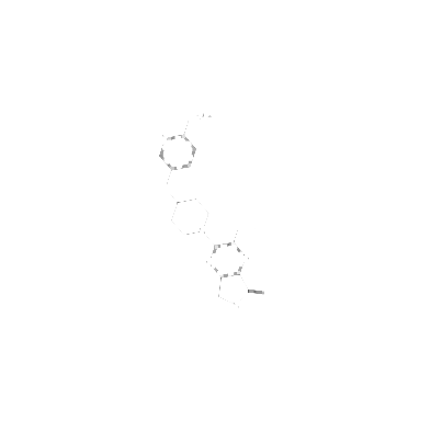 COc1ccc(OC2CCN(c3nc4c(nc3C)C(=O)NC4)CC2)cn1